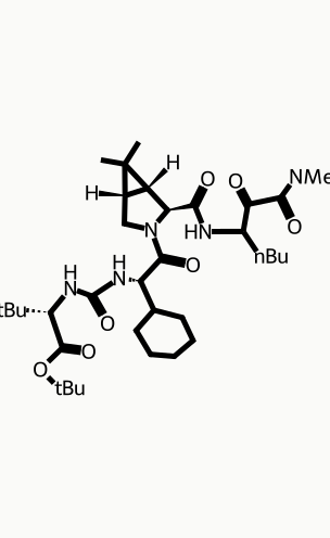 CCCCC(NC(=O)[C@@H]1[C@@H]2[C@H](CN1C(=O)[C@@H](NC(=O)N[C@H](C(=O)OC(C)(C)C)C(C)(C)C)C1CCCCC1)C2(C)C)C(=O)C(=O)NC